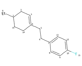 CCC1CC=C(CCc2ccc(F)cc2)CC1